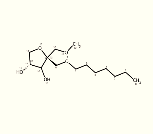 CCCCCCCOC[C@]1(COC)OC[C@@H](O)C1O